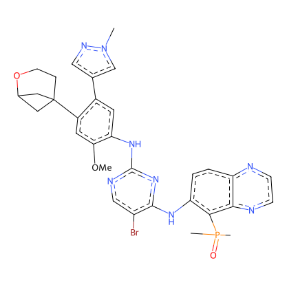 COc1cc(C23CCOC(C2)C3)c(-c2cnn(C)c2)cc1Nc1ncc(Br)c(Nc2ccc3nccnc3c2P(C)(C)=O)n1